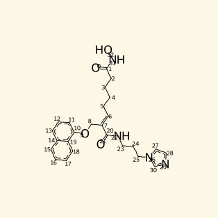 O=C(CCCC/C=C(\COc1cccc2ccccc12)C(=O)NCCCn1ccnc1)NO